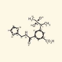 CN(c1cc(C(=O)O)cc(C(=O)NCc2nccs2)c1)S(C)(=O)=O